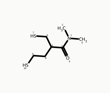 CN(C)C(=O)C(CS)CCS